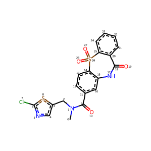 CN(Cc1cnc(Cl)s1)C(=O)c1ccc2c(c1)NC(=O)c1ccccc1S2(=O)=O